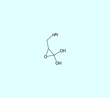 CCCCC1OC1(O)O